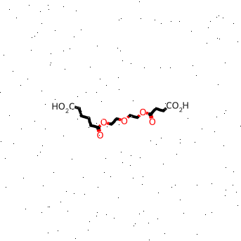 O=C(O)CCCCC(=O)OCCOCCOC(=O)CCC(=O)O